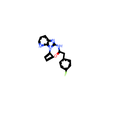 O=C(Cc1ccc(F)cc1)Nc1nc2cccnc2n1C1=CC=C1